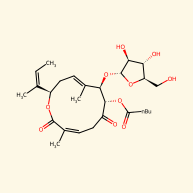 C/C=C(/C)[C@H]1C/C=C(\C)[C@@H](O[C@H]2O[C@H](CO)[C@@H](O)[C@@H]2O)[C@H](OC(=O)CCCC)C(=O)C/C=C(/C)C(=O)O1